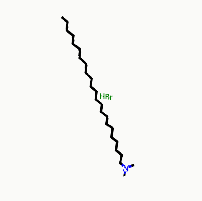 Br.CCCCCCCCCCCCCCCCCCCCCCCN(C)C